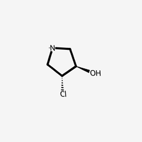 O[C@@H]1C[N]C[C@H]1Cl